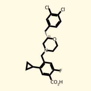 O=C(O)c1cc(C2CC2)c(CN2CCO[C@@H](Cc3ccc(Cl)c(Cl)c3)C2)cc1F